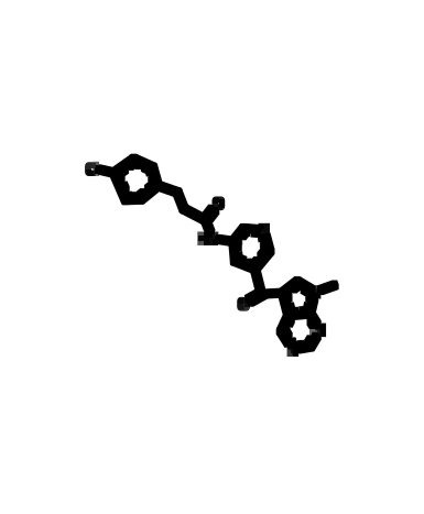 Cn1cc(C(=O)c2cncc(NC(=O)CCc3ccc(Cl)cc3)c2)c2cncnc21